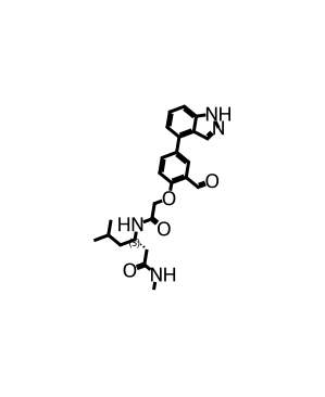 CNC(=O)C[C@H](CC(C)C)NC(=O)COc1ccc(-c2cccc3[nH]ncc23)cc1C=O